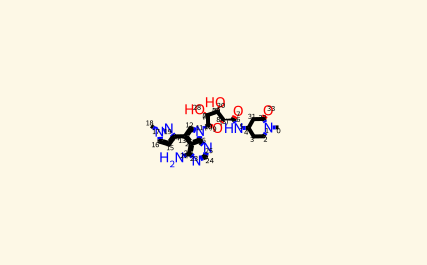 CN1CCC(NC(=O)[C@H]2O[C@@H](n3cc(-c4ccn(C)n4)c4c(N)ncnc43)[C@H](O)[C@@H]2O)CC1=O